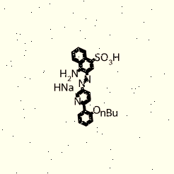 CCCCOc1ccccc1-c1ccc(N=Nc2cc(S(=O)(=O)O)c3ccccc3c2N)cn1.[NaH]